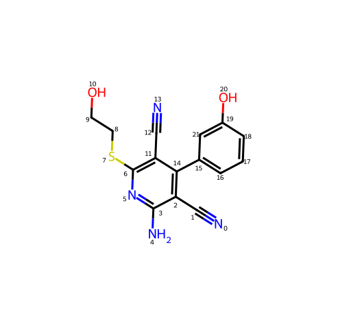 N#Cc1c(N)nc(SCCO)c(C#N)c1-c1cccc(O)c1